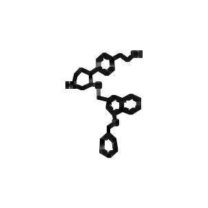 OCCc1ccc(C2CCNCC2OCc2cc(OCc3ccccc3)c3ccccc3c2)cc1